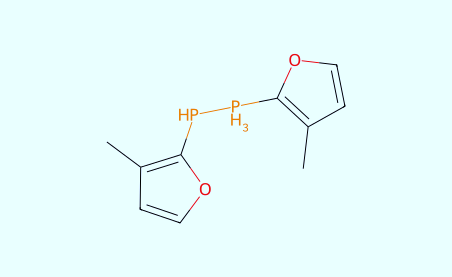 Cc1ccoc1P[PH3]c1occc1C